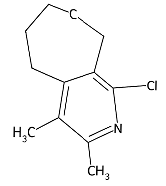 Cc1nc(Cl)c2c(c1C)CCCCC2